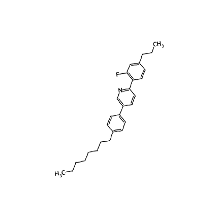 CCCCCCCCc1ccc(-c2ccc(-c3ccc(CCC)cc3F)nc2)cc1